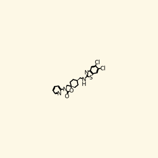 O=C1O[C@]2(CC[C@H](CNc3nc4cc(Cl)c(Cl)cc4s3)CC2)CN1c1ccccn1